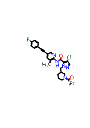 Cc1cc(C#Cc2ccc(F)cc2)cnc1NC(=O)c1c(Cl)cnn1CC1CCCN(C(=O)C(C)C)C1